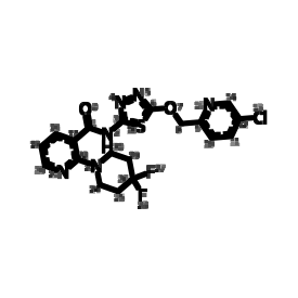 O=C(Nc1nnc(OCc2ccc(Cl)cn2)s1)c1cccnc1N1CCC(F)(F)CC1